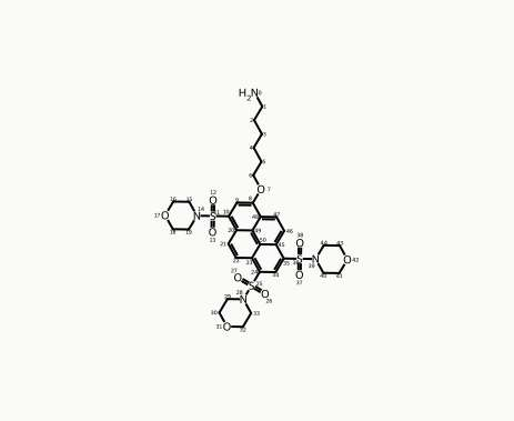 NCCCCCCOc1cc(S(=O)(=O)N2CCOCC2)c2ccc3c(S(=O)(=O)N4CCOCC4)cc(S(=O)(=O)N4CCOCC4)c4ccc1c2c43